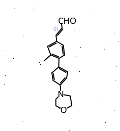 Cc1cc(/C=C/C=O)ccc1-c1ccc(N2CCOCC2)cc1